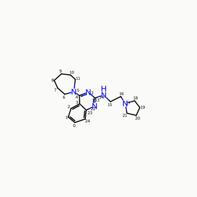 c1ccc2c(N3CCCCCC3)nc(NCCN3CCCC3)nc2c1